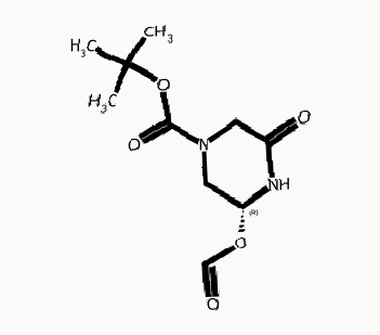 CC(C)(C)OC(=O)N1CC(=O)N[C@H](OC=O)C1